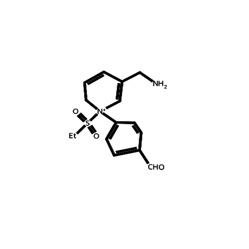 CCS(=O)(=O)[N+]1(c2ccc(C=O)cc2)C=C(CN)C=CC1